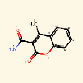 Cc1c(C(N)=O)c(=O)oc2ccccc12